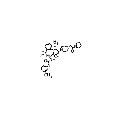 CC1=N[C@@H](NC(=O)Nc2cccc(C)c2)C(=O)N(CC(=O)N2CCN(CC(=O)N3CCCC3)CC2)c2c(C)cccc21